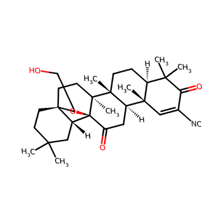 [C-]#[N+]C1=C[C@]2(C)[C@H]3CC(=O)[C@]45OC(CO)[C@@]6(CCC(C)(C)C[C@H]64)CC[C@@]5(C)[C@]3(C)CC[C@H]2C(C)(C)C1=O